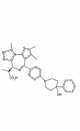 Cc1sc2c(c1C)C(c1ccc(N3CCC(O)(c4ccccc4)CC3)cc1)=N[C@@H](C(C)C(=O)O)c1nnc(C)n1-2